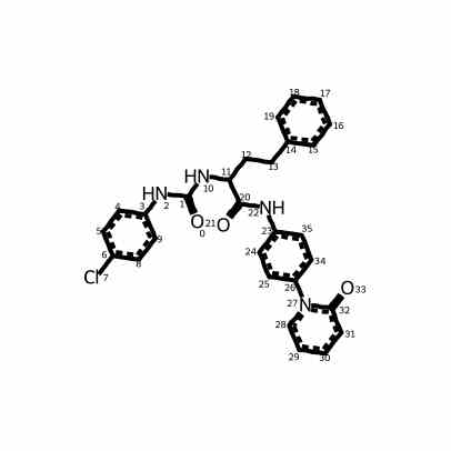 O=C(Nc1ccc(Cl)cc1)NC(CCc1ccccc1)C(=O)Nc1ccc(-n2ccccc2=O)cc1